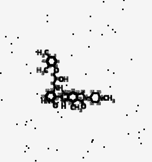 Cc1ccc(OC[C@H](O)CNc2cc[nH]c(=O)c2-c2nc3cc4c(c(C)c3[nH]2)C(=O)N(C2CCN(C)CC2)C4)c(C)c1